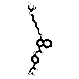 CCC(=O)OCCCCCCOc1ccc(C(=O)Oc2ccc(C(=O)CC)cc2)c2ccccc12